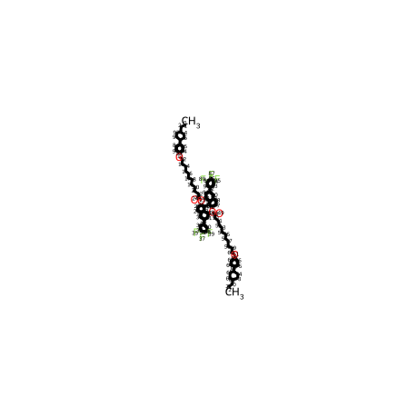 CCCC1CCC(c2ccc(OCCCCCCCCCCCC(=O)Oc3ccc4cc(-c5cc(F)c(F)c(F)c5)ccc4c3-c3c(OC(=O)CCCCCCCCCCCOc4ccc(C5CCC(CCC)CC5)cc4)ccc4cc(-c5cc(F)c(F)c(F)c5)ccc34)cc2)CC1